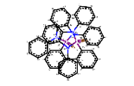 S=P1(c2ccccc2-c2ccccc2P2(=S)N(c3ccccc3)c3ccccc3N2c2ccccc2)N(c2ccccc2)c2ccccc2N1c1ccccc1